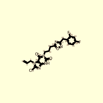 C=CCn1c(Cl)nc2[nH]c(=O)n(CCCc3nc(Cc4ccc(F)cc4F)no3)c(=O)c21